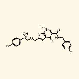 Cn1cc(C(=O)NCc2ccc(Cl)cc2)c(=O)c2cc(COC[C@H](O)c3ccc(Br)cc3)sc21